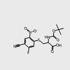 CC(C)(C)OC(=O)NC(CSc1cc(F)c(C#N)cc1[N+](=O)[O-])C(=O)O